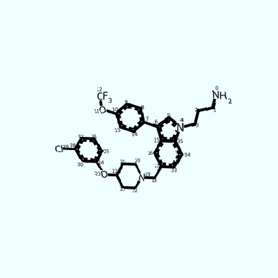 NCCCn1cc(-c2ccc(OC(F)(F)F)cc2)c2cc(CN3CCC(Oc4cccc(Cl)c4)CC3)ccc21